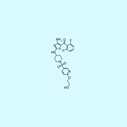 Nc1nc(NC2CCN(S(=O)(=O)c3ccc(OCCO)nc3)CC2)sc1C(=O)c1c(F)cccc1F